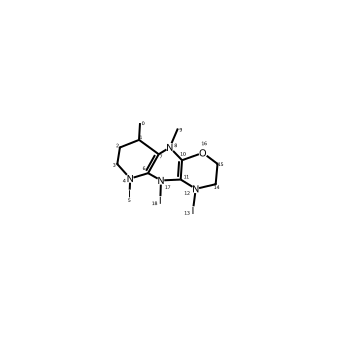 CC1CCN(I)C2=C1N(C)C1=C(N(I)CCO1)N2I